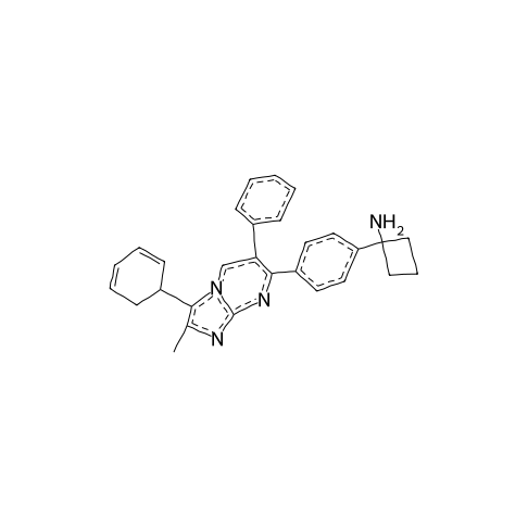 Cc1nc2nc(-c3ccc(C4(N)CCC4)cc3)c(-c3ccccc3)cn2c1C1C=CC=CC1